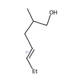 [CH2]C/C=C/CC(C)CO